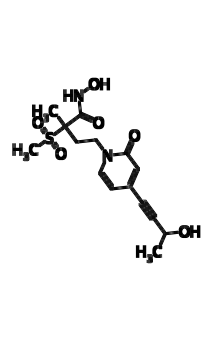 CC(O)C#Cc1ccn(CCC(C)(C(=O)NO)S(C)(=O)=O)c(=O)c1